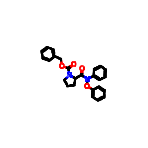 O=C(C1CCCN1C(=O)OCc1ccccc1)N(Oc1ccccc1)c1ccccc1